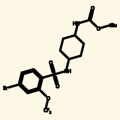 CC(C)(C)OC(=O)NC1CCC(NS(=O)(=O)c2ccc(Br)cc2OC(F)(F)F)CC1